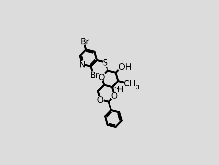 CC1C(O)[C@@H](Sc2cc(Br)cnc2Br)OC2COC(c3ccccc3)O[C@@H]21